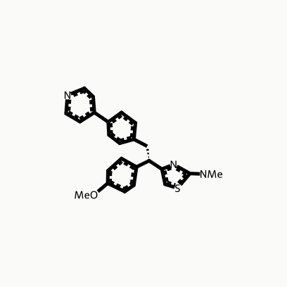 CNc1nc([C@@H](Cc2ccc(-c3ccncc3)cc2)c2ccc(OC)cc2)cs1